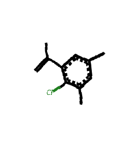 C=C(C)c1cc(C)cc(C)c1Cl